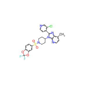 Cc1ccnc2c1nc(-c1ccncc1Cl)n2C1CCN(S(=O)(=O)c2ccc3c(c2)OC(F)(F)O3)CC1